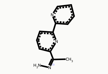 C/C(=N/N)c1cccc(-c2ccccn2)n1